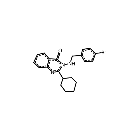 O=c1c2ccccc2nc(C2CCCCC2)n1NCc1ccc(Br)cc1